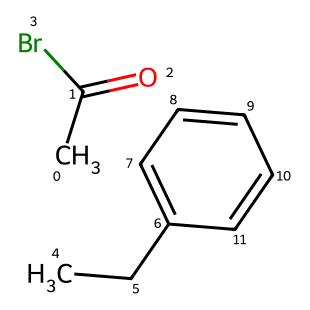 CC(=O)Br.CCc1ccccc1